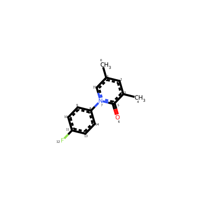 Cc1cc(C)c(=O)n(-c2ccc(F)cc2)c1